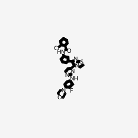 O=C(Nc1cccc(-c2nc3sccn3c2-c2ccnc(Nc3ccc(N4CCOCC4)c(F)c3)n2)c1)c1ccccc1Cl